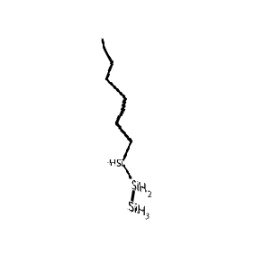 CCCCCC[SiH][SiH2][SiH3]